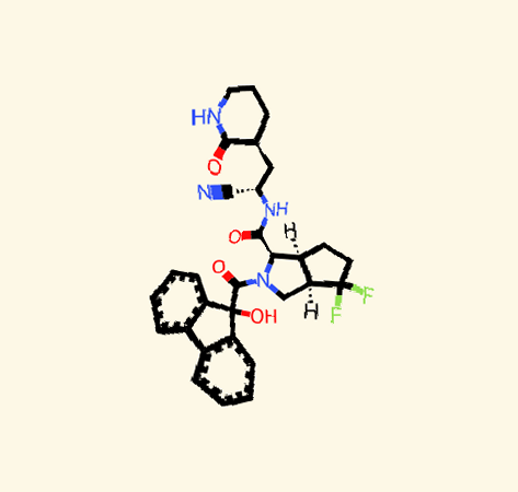 N#C[C@H](C[C@@H]1CCCNC1=O)NC(=O)[C@H]1[C@H]2CCC(F)(F)[C@H]2CN1C(=O)C1(O)c2ccccc2-c2ccccc21